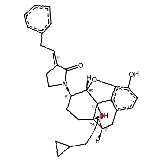 O=C1/C(=C/Cc2ccccc2)CCN1[C@@H]1CC[C@@]2(O)[C@H]3Cc4ccc(O)c5c4[C@@]2(CCN3CC2CC2)[C@H]1O5